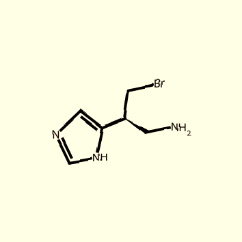 NC[C@H](CBr)c1cnc[nH]1